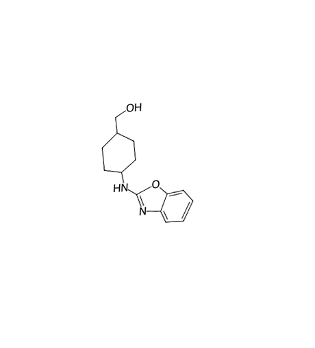 OCC1CCC(Nc2nc3ccccc3o2)CC1